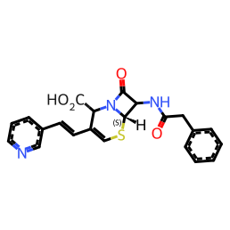 O=C(Cc1ccccc1)NC1C(=O)N2C(C(=O)O)C(C=Cc3cccnc3)=CS[C@@H]12